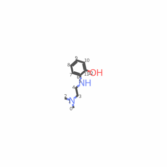 CN(C)CCNc1ccccc1O